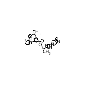 CC(C)c1cc(C[C@H](C)c2ccc(-c3ccccn3)s2)cc(C(=O)OCC[C@@H](C)c2cnc(N3CCS(=O)(=O)CC3)cn2)c1